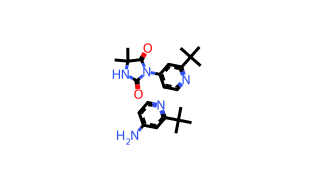 CC(C)(C)c1cc(N)ccn1.CC1(C)NC(=O)N(c2ccnc(C(C)(C)C)c2)C1=O